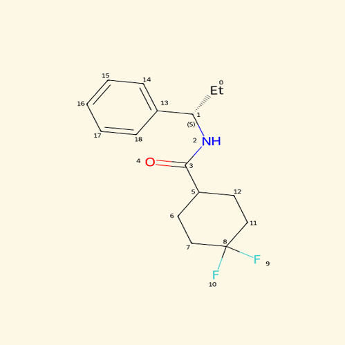 [CH2]C[C@H](NC(=O)C1CCC(F)(F)CC1)c1ccccc1